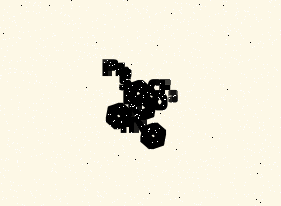 CC(C)CSc1cc(C(F)(F)F)c2c(=O)cc(Nc3ccccc3)n(-c3ccccc3)c2n1